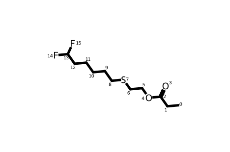 CCC(=O)OCCSCCCCCC(F)F